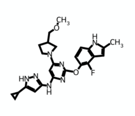 COCC1CCN(c2cc(Nc3cc(C4CC4)[nH]n3)nc(Oc3ccc4[nH]c(C)cc4c3F)n2)C1